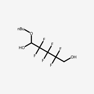 CCCCOC(O)C(F)(F)C(F)(F)C(F)(F)CO